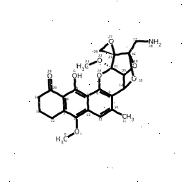 COc1c2c(c(O)c3c4c(c(C)cc13)C1OC3(CN)OC1[C@@](OC)(O4)[C@@]31CO1)C(=O)CCC2